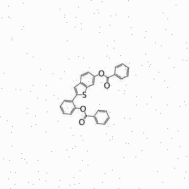 O=C(Oc1ccc2cc(-c3ccccc3OC(=O)c3ccccc3)sc2c1)c1ccccc1